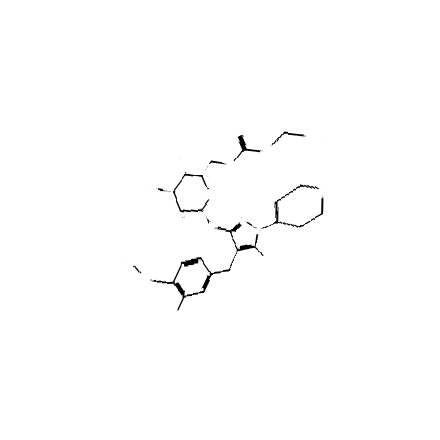 CCOC(=O)OC[C@H]1O[C@@H](Oc2nn(C3CCOCC3)c(C)c2Cc2ccc(OC)c(F)c2)[C@H](O)[C@@H](O)[C@@H]1O